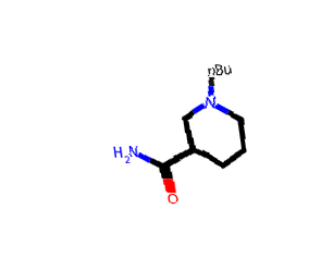 CCCCN1CCCC(C(N)=O)C1